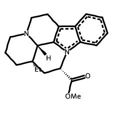 CC[C@@]12CCCN3CCc4c(n(c5ccccc45)[C@H](C(=O)OC)C1)[C@@H]32